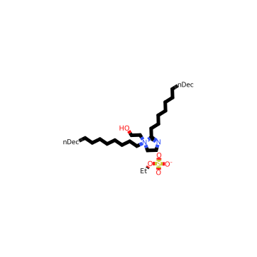 CCCCCCCCCCCCCCCCCC[N+]1(CCO)CCN=C1CCCCCCCCCCCCCCCCC.CCOS(=O)(=O)[O-]